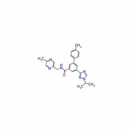 Cc1ccc(-c2cc(C(=O)NCc3cnc(C)cn3)cc(-c3ncn(C(C)C)n3)c2)cc1